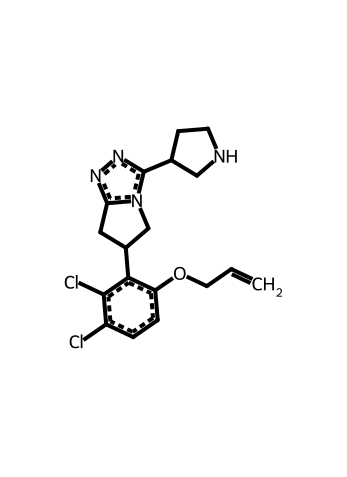 C=CCOc1ccc(Cl)c(Cl)c1C1Cc2nnc(C3CCNC3)n2C1